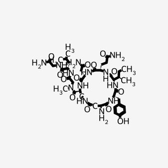 CC[C@H](C)[C@@H]1NC(=O)[C@H](Cc2ccc(O)cc2)NC(=O)[C@@H](N)CC(=O)NC[C@@H](C(=O)N(C)CC(=O)N[C@@H](CC(C)C)C(=O)NCC(N)=O)NC(=O)[C@H](CC(N)=O)NC(=O)[C@H](CCC(N)=O)NC1=O